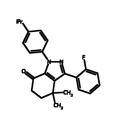 CC(C)c1ccc(-n2nc(-c3ccccc3F)c3c2C(=O)CCC3(C)C)cc1